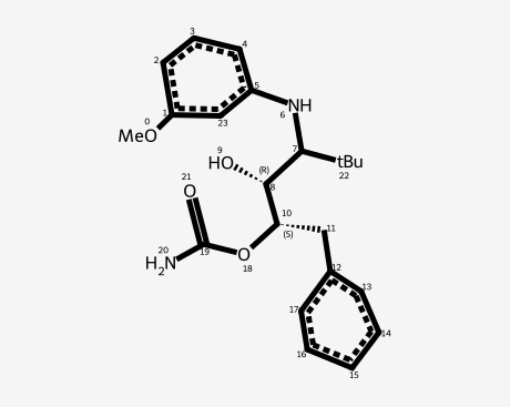 COc1cccc(NC([C@@H](O)[C@H](Cc2ccccc2)OC(N)=O)C(C)(C)C)c1